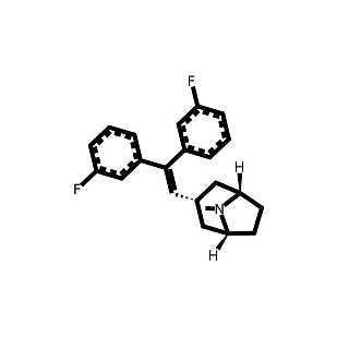 CN1[C@@H]2CC[C@H]1C[C@@H](C=C(c1cccc(F)c1)c1cccc(F)c1)C2